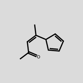 CC(=O)/C=C(/C)C1C=CC=C1